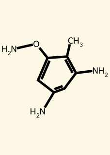 Cc1c(N)cc(N)cc1ON